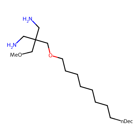 CCCCCCCCCCCCCCCCCCOCC(CN)(CN)COC